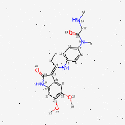 CC/C(Nc1ccc(N(C)C(=O)CNC)cc1)=C1\C(=O)Nc2cc(OC)c(OC)cc21